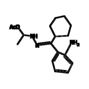 CC(=O)OC(C)NN=C(c1ccccc1N)C1CCCCC1